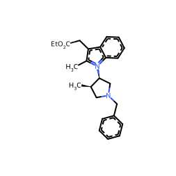 CCOC(=O)Cc1c(C)n([C@H]2CN(Cc3ccccc3)C[C@H]2C)c2ccccc12